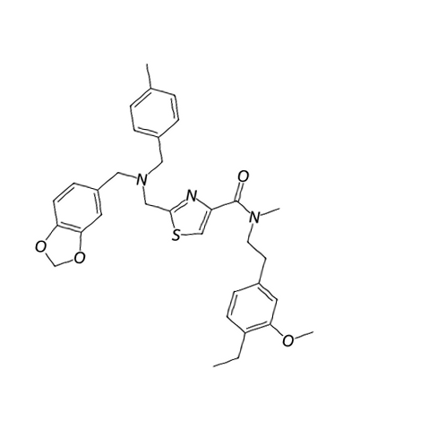 CCc1ccc(CCN(C)C(=O)c2csc(CN(Cc3ccc(C)cc3)Cc3ccc4c(c3)OCO4)n2)cc1OC